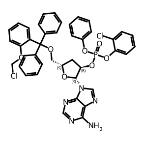 Nc1ncnc2c1ncn2[C@@H]1O[C@H](COC(c2ccccc2)(c2ccccc2)c2ccccc2OCCl)C[C@H]1OP(=O)(Oc1ccccc1)Oc1ccccc1Cl